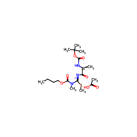 CC(=O)O.CCCCOC(=O)N(C)/C(=N/C(=O)[C@H](C)NC(=O)OC(C)(C)C)SC